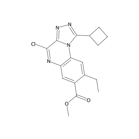 CCc1cc2c(cc1C(=O)OC)nc(Cl)c1nnc(C3CCC3)n12